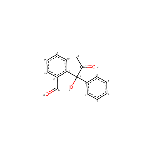 CC(=O)C(O)(c1ccccc1)c1ccccc1C=O